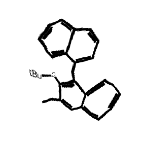 Cc1cc2ccccc2c(-c2cccc3ccccc23)c1OC(C)(C)C